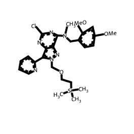 COc1ccc(CN(C)c2nc(Cl)nc3c(-c4ccccn4)n(COCC[Si](C)(C)C)nc23)c(OC)c1